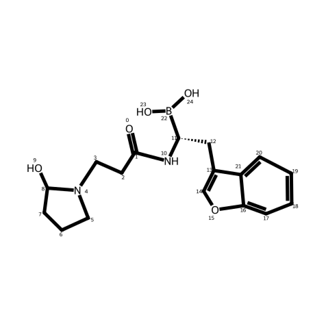 O=C(CCN1CCCC1O)N[C@@H](Cc1coc2ccccc12)B(O)O